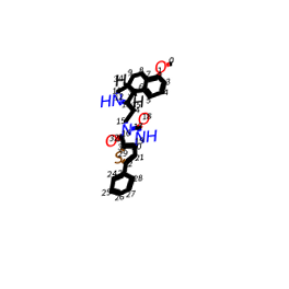 COc1cccc2c1CC[C@H]1CNC(CCn3c(=O)[nH]c4cc(-c5ccccc5)sc4c3=O)[C@@H]21